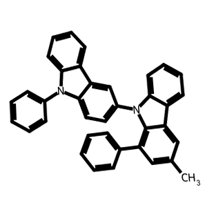 Cc1cc(-c2ccccc2)c2c(c1)c1ccccc1n2-c1ccc2c(c1)c1ccccc1n2-c1ccccc1